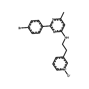 Cc1cc(NCCc2ccc[n+]([O-])c2)nc(-c2ccc(Br)cc2)n1